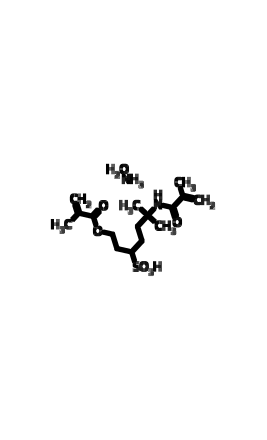 C=C(C)C(=O)NC(C)(C)CCC(CCOC(=O)C(=C)C)S(=O)(=O)O.N.O